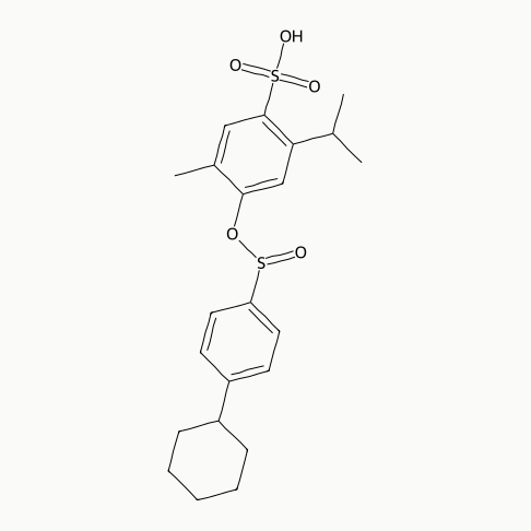 Cc1cc(S(=O)(=O)O)c(C(C)C)cc1OS(=O)c1ccc(C2CCCCC2)cc1